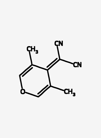 CC1=COC=C(C)C1=C(C#N)C#N